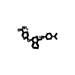 CC(C)[C@H]1CC[C@@H](NCc2ncc(Oc3ccc(C(N)=O)cn3)c3ccccc23)CC1